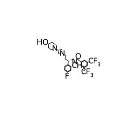 CN(C[C@@H](CCN1CC(N2CCC(O)CC2)C1)c1ccc(F)cc1)C(=O)c1cc(C(F)(F)F)cc(C(F)(F)F)c1